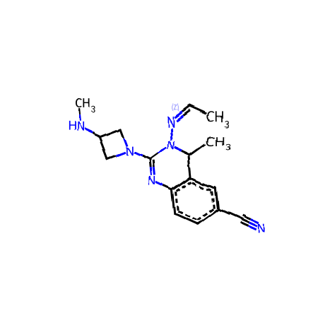 C/C=N\N1C(N2CC(NC)C2)=Nc2ccc(C#N)cc2C1C